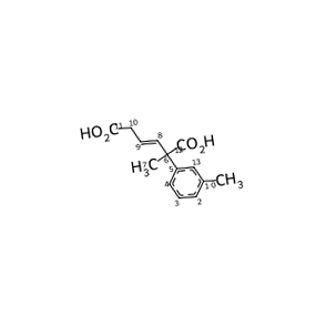 Cc1cccc(C(C)(/C=C/CC(=O)O)C(=O)O)c1